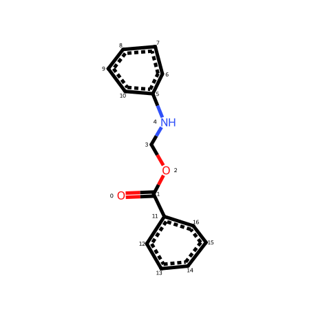 O=C(OCNc1ccccc1)c1ccccc1